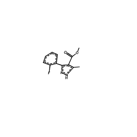 COC(=O)c1c(-c2ccccc2F)n[nH]c1C